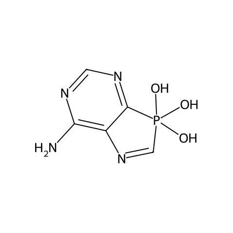 Nc1ncnc2c1N=CP2(O)(O)O